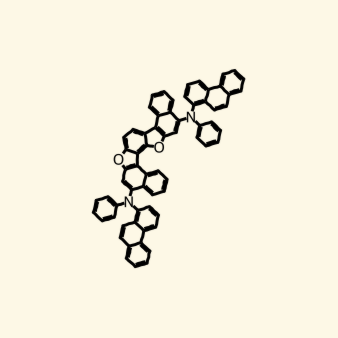 c1ccc(N(c2cccc3c2ccc2ccccc23)c2cc3oc4c(ccc5oc6cc(N(c7ccccc7)c7cccc8c7ccc7ccccc78)c7ccccc7c6c54)c3c3ccccc23)cc1